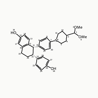 COC(OC)C1CCN(c2ccc([C@H]3c4ccc(O)cc4CC[C@H]3c3ccc(O)cc3)cc2)CC1